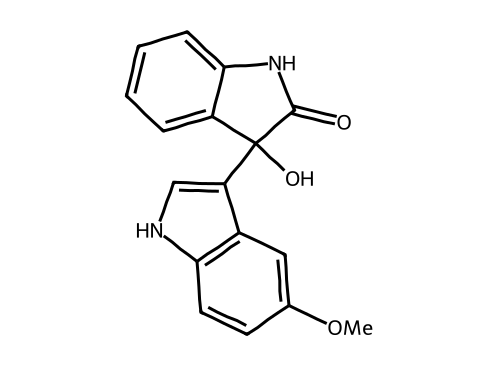 COc1ccc2[nH]cc(C3(O)C(=O)Nc4ccccc43)c2c1